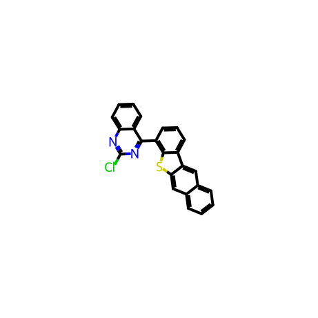 Clc1nc(-c2cccc3c2sc2cc4ccccc4cc23)c2ccccc2n1